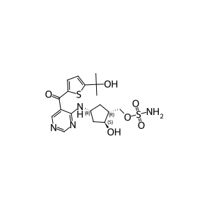 CC(C)(O)c1ccc(C(=O)c2cncnc2N[C@@H]2C[C@H](COS(N)(=O)=O)[C@@H](O)C2)s1